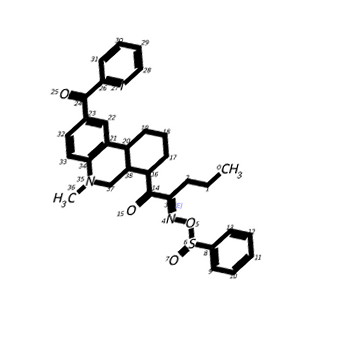 CCC/C(=N\OS(=O)c1ccccc1)C(=O)C1CCCC2c3cc(C(=O)C4=IC=CC=C4)ccc3N(C)CC12